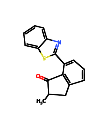 CC1Cc2cccc(-c3nc4ccccc4s3)c2C1=O